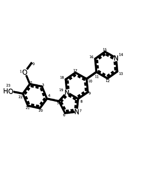 COc1cc(-c2cnc3cc(-c4ccncc4)ccn23)ccc1O